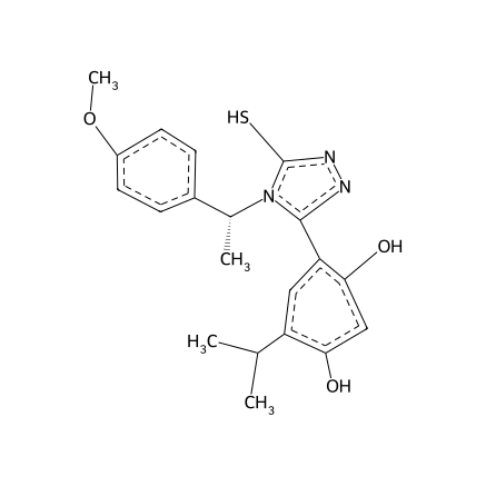 COc1ccc([C@@H](C)n2c(S)nnc2-c2cc(C(C)C)c(O)cc2O)cc1